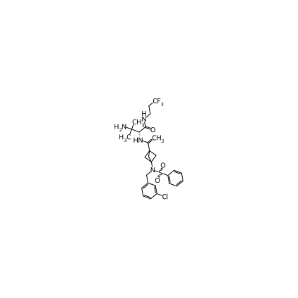 C=C(N[C@@H](C(=O)NCCC(F)(F)F)C(C)(C)N)C12CC(N(Cc3cccc(Cl)c3)S(=O)(=O)c3ccccc3)(C1)C2